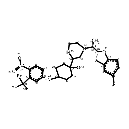 C[C@@H]([C@H]1Cc2cc(F)ccc2O1)N1CCNC(C2([O])CCC(Nc3ccc([N+](=O)[O-])c(C(F)(F)F)c3)CC2)C1